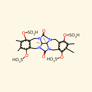 Cc1c(C)c(OS(=O)(=O)O)c2c(c1OS(=O)(=O)O)CN1C(=O)N3Cc4c(c(OS(=O)(=O)O)c(C)c(C)c4OS(=O)(=O)O)CN4C(=O)N(C2)[C@]1(C)[C@]43C